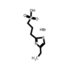 Br.CCc1csc(CCCS(=O)(=O)O)n1